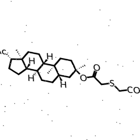 CC(=O)[C@H]1CC[C@H]2[C@@H]3CC[C@H]4C[C@](C)(OC(=O)CSCC(=O)O)CC[C@]4(C)[C@H]3CC[C@]12C